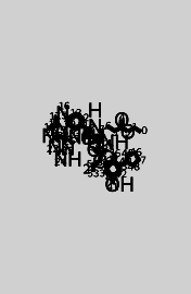 CCOC(=O)CC[C@H](NC(=O)c1ccc(N(C)Cc2cnc3nc(N)nc(N)c3n2)cc1)C(=O)N[C@@H](Cc1ccc(O)cc1C1CCCC1)C(=O)OCC